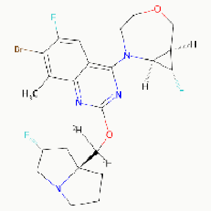 [2H]C([2H])(Oc1nc(N2CCOC[C@H]3[C@H](F)[C@H]32)c2cc(F)c(Br)c(C)c2n1)[C@@]12CCCN1C[C@H](F)C2